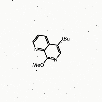 COc1ncc(C(C)(C)C)c2cccnc12